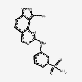 CC(C)c1noc2ccc3cnc(Nc4cccc(S(N)(=O)=O)c4)nc3c12